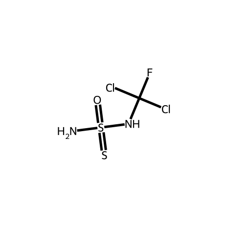 NS(=O)(=S)NC(F)(Cl)Cl